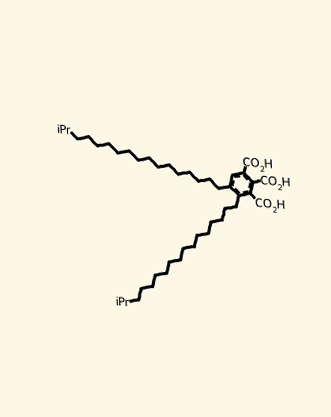 CC(C)CCCCCCCCCCCCCCCc1cc(C(=O)O)c(C(=O)O)c(C(=O)O)c1CCCCCCCCCCCCCCCC(C)C